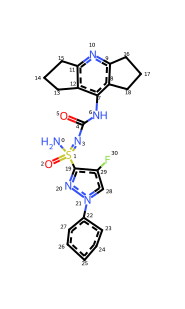 NS(=O)(=NC(=O)Nc1c2c(nc3c1CCC3)CCC2)c1nn(-c2ccccc2)cc1F